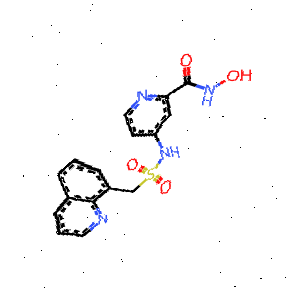 O=C(NO)c1cc(NS(=O)(=O)Cc2cccc3cccnc23)ccn1